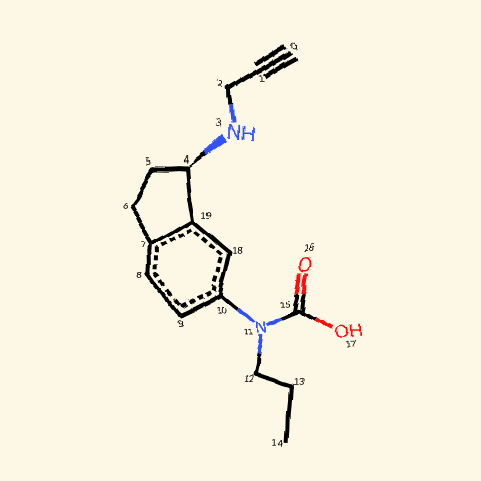 C#CCN[C@@H]1CCc2ccc(N(CCC)C(=O)O)cc21